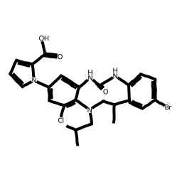 CC(C)CN(CC(C)C)c1c(Cl)cc(-n2cccc2C(=O)O)cc1NC(=O)Nc1ccc(Br)cc1